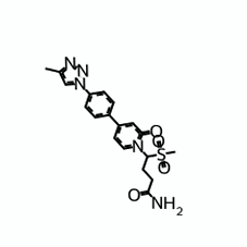 Cc1cn(-c2ccc(-c3ccn(C(CCC(N)=O)S(C)(=O)=O)c(=O)c3)cc2)nn1